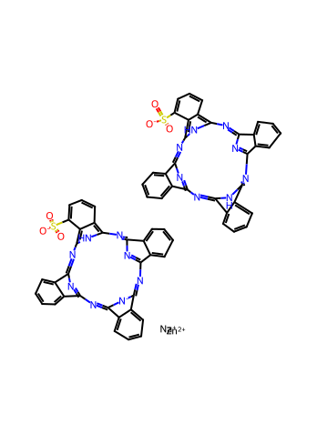 O=S(=O)([O-])c1cccc2c3nc4nc(nc5[n-]c(nc6nc(nc([nH]3)c12)-c1ccccc1-6)c1ccccc51)-c1ccccc1-4.O=S(=O)([O-])c1cccc2c3nc4nc(nc5[nH]c(nc6nc(nc([nH]3)c12)-c1ccccc1-6)c1ccccc51)-c1ccccc1-4.[Na+].[Zn+2]